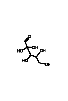 O=CC(O)(O)C(O)C(O)CO